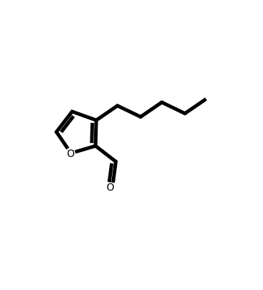 CCCCCc1ccoc1C=O